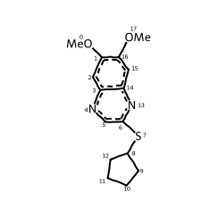 COc1cc2ncc(SC3CCCC3)nc2cc1OC